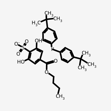 CC(C)(C)c1ccc([I+]c2ccc(C(C)(C)C)cc2)cc1.CCCCOC(=O)c1cc(O)c(S(=O)(=O)[O-])c(O)c1